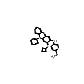 COc1ccc(Nc2cc3nc4ccccc4n(-c4ccccc4)c-3cc2=NC2CCC2)cn1